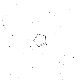 C1=NCCC1